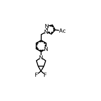 CC(=O)c1cnn(Cc2ccc(N3CC4C(C3)C4(F)F)nc2)c1